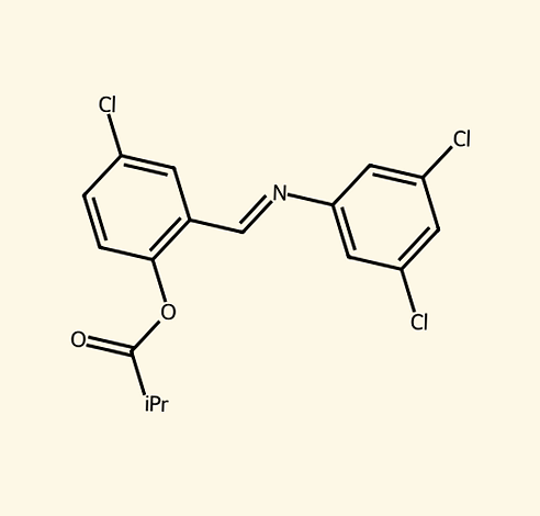 CC(C)C(=O)Oc1ccc(Cl)cc1C=Nc1cc(Cl)cc(Cl)c1